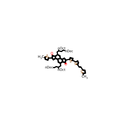 CCCCCCCCCCCCC(CCCCCCCC)Cc1cc2c3cc(-c4ccc(-c5ccc(/C=C/c6ccc(C)s6)s5)s4)c(=O)c3c(CC(CCCCCCCC)CCCCCCCCCCCC)cc2c2cc(-c3ccc(C)s3)c(=O)c12